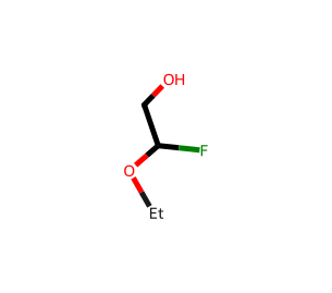 [CH2]COC(F)CO